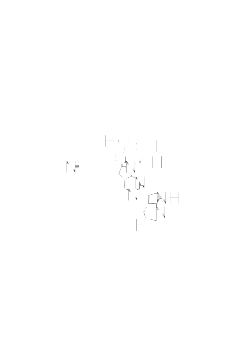 C[C@H]([C@@H](C)C(=O)O)n1cc(CCCCC#N)c2cnc(-c3c[nH]c4ncc(F)cc34)nc21